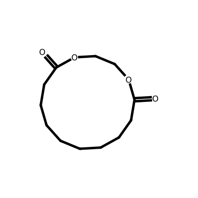 O=C1CCCCCCCCC(=O)OCCO1